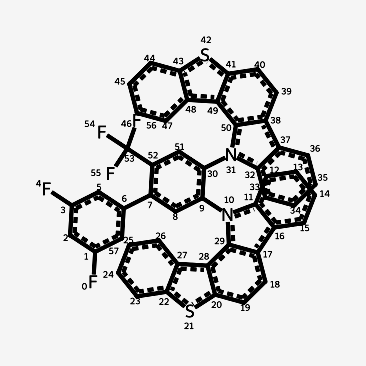 Fc1cc(F)cc(-c2cc(-n3c4ccccc4c4ccc5sc6ccccc6c5c43)c(-n3c4ccccc4c4ccc5sc6ccccc6c5c43)cc2C(F)(F)F)c1